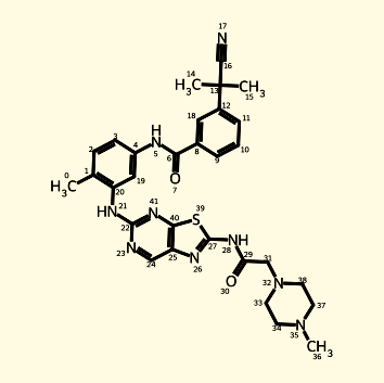 Cc1ccc(NC(=O)c2cccc(C(C)(C)C#N)c2)cc1Nc1ncc2nc(NC(=O)CN3CCN(C)CC3)sc2n1